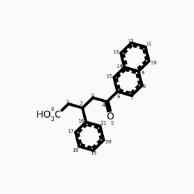 O=C(O)CC(CC(=O)c1ccc2ccccc2c1)c1ccccc1